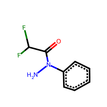 NN(C(=O)C(F)F)c1ccccc1